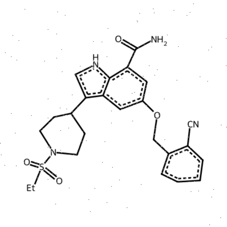 CCS(=O)(=O)N1CCC(c2c[nH]c3c(C(N)=O)cc(OCc4ccccc4C#N)cc23)CC1